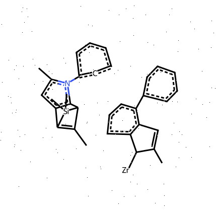 CC1=C2c3cc(C)n(-c4ccccc4)c3C1[Si]2(C)C.CC1=Cc2c(-c3ccccc3)cccc2[CH]1[Zr]